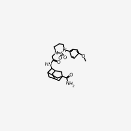 COc1ccc(N2CCCN(CC(=O)NC3C4CC5CC3CC(C(N)=O)(C5)C4)S2(=O)=O)cc1